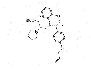 C=CCOc1ccc(C2COc3ccccc3N2CC(COCC(C)C)N2CCCC2)cc1